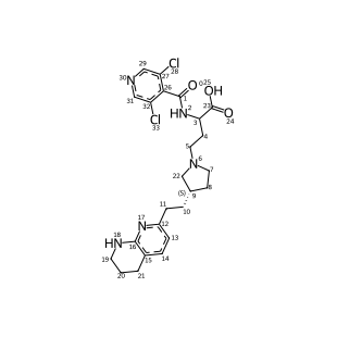 O=C(NC(CCN1CC[C@H](CCc2ccc3c(n2)NCCC3)C1)C(=O)O)c1c(Cl)cncc1Cl